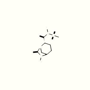 CS(=O)(=O)N(N)C(=O)[C@H]1CC[C@@H]2CN1C(=O)N2O